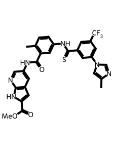 COC(=O)c1cc2cc(NC(=O)c3cc(NC(=S)c4cc(-n5cnc(C)c5)cc(C(F)(F)F)c4)ccc3C)cnc2[nH]1